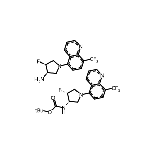 CC(C)(C)OC(=O)N[C@H]1CN(c2ccc(C(F)(F)F)c3ncccc23)C[C@H]1F.N[C@@H]1CN(c2ccc(C(F)(F)F)c3ncccc23)C[C@@H]1F